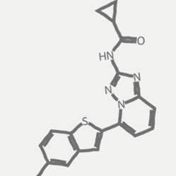 Cc1ccc2sc(-c3cccc4nc(NC(=O)C5CC5)nn34)cc2c1